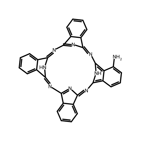 Nc1cccc2c3nc4nc(nc5[nH]c(nc6nc(nc([nH]3)c12)-c1ccccc1-6)c1ccccc51)-c1ccccc1-4